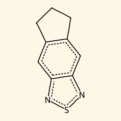 c1c2c(cc3nsnc13)CCC2